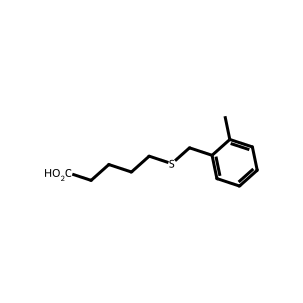 Cc1ccccc1CSCCCCC(=O)O